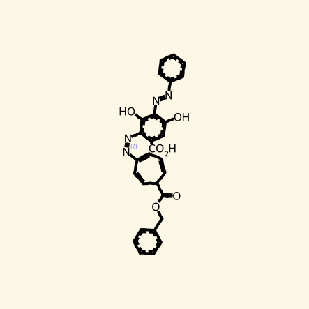 O=C(O)c1cc(O)c(N=Nc2ccccc2)c(O)c1/N=N\C1=CC=CC(C(=O)OCc2ccccc2)C=C1